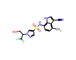 Cc1ccc(NS(=O)(=O)c2cnn(C(CO)C(F)F)c2)c2[nH]cc(C#N)c12